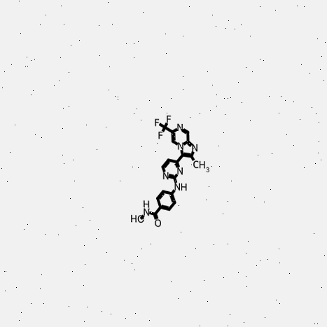 Cc1nc2cnc(C(F)(F)F)cn2c1-c1ccnc(Nc2ccc(C(=O)NO)cc2)n1